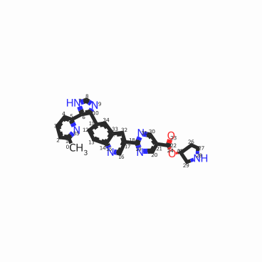 Cc1cccc(-c2[nH]cnc2-c2ccc3ncc(-c4ncc(C(=O)O[C@H]5CCNC5)cn4)cc3c2)n1